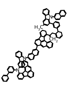 C=C(CC1=CC=CCC1c1cccc(-c2cc(C)cc3c4ccccc4n(-c4ccc5ccccc5c4)c23)c1)C1=C2C(=CCC1)c1ccc(-c3ccc4ccc(-n5c6ccccc6c6cc(N(c7cccc(-c8ccccc8)c7)c7cccc8c7-c7c9ccccc9cc9cccc-8c79)ccc65)cc4c3)c3cc4ccccc4c2c13